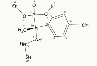 CCOP(=O)(OCC)[C@@](C)(NNS)c1ccc(Cl)cc1